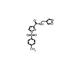 Cc1ccc(S(=O)(=O)n2ccc(C(=O)NCc3cnoc3)n2)cc1